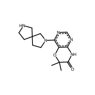 CC1(C)Oc2c(ncnc2N2CCC3(CCNC3)C2)NC1=O